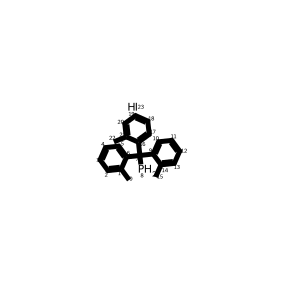 Cc1ccccc1C(P)(c1ccccc1C)c1ccccc1C.I